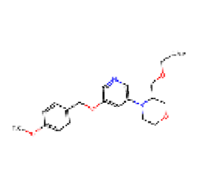 COCOC[C@@H]1COCCN1c1cncc(OCc2ccc(OC(F)(F)F)cc2)c1